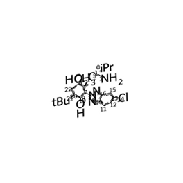 CC(C)[C@H](N)C(=O)O.Cc1cc(-n2nc3ccc(Cl)cc3n2)c(O)c(C(C)(C)C)c1